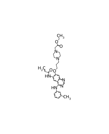 C=CC(=O)Nc1cc2c(Nc3cccc(C)c3)ncnc2cc1OCCCN1CCN(CC(=O)OCC)CC1